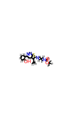 CC(C)(C)OC(=O)N1CC2(C1)CN(c1sc3nnc(-c4ccccc4O)cc3c1C1CC1)C2